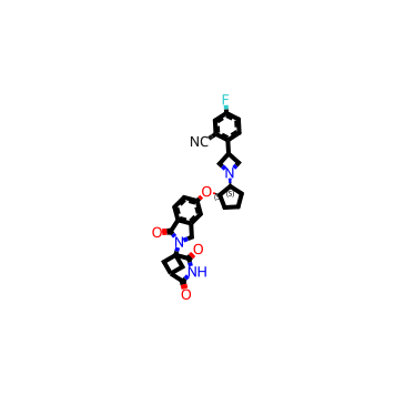 N#Cc1cc(F)ccc1C1CN([C@H]2CCC[C@@H]2Oc2ccc3c(c2)CN(C24CC(C2)C(=O)NC4=O)C3=O)C1